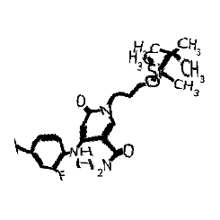 CC(C)(C)[Si](C)(C)OCCCn1cc(C(N)=O)c(Nc2ccc(I)cc2F)cc1=O